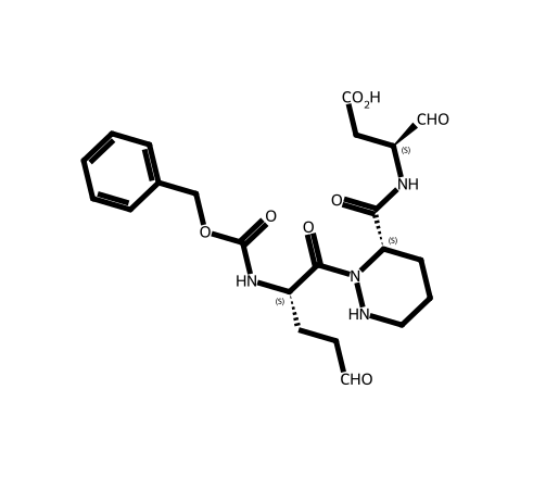 O=CCC[C@H](NC(=O)OCc1ccccc1)C(=O)N1NCCC[C@H]1C(=O)N[C@H](C=O)CC(=O)O